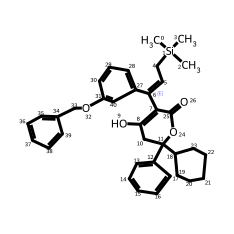 C[Si](C)(C)C/C=C(/C1=C(O)CC(c2ccccc2)(C2CCCCC2)OC1=O)c1cccc(OCc2ccccc2)c1